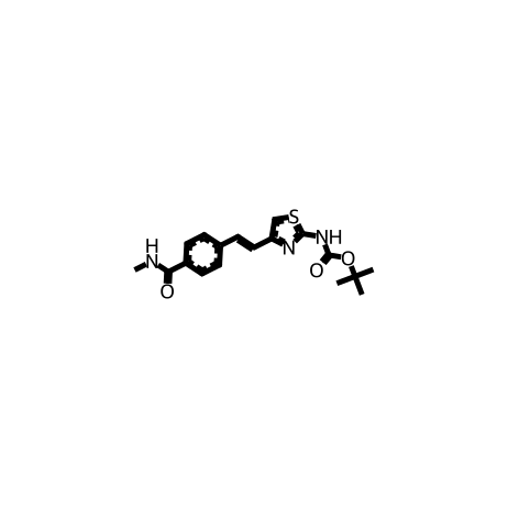 CNC(=O)c1ccc(C=Cc2csc(NC(=O)OC(C)(C)C)n2)cc1